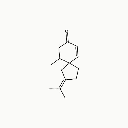 CC(C)=C1CCC2(C=CC(=O)CC2C)C1